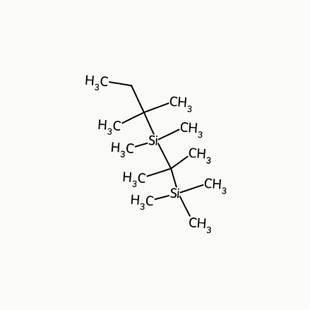 CCC(C)(C)[Si](C)(C)C(C)(C)[Si](C)(C)C